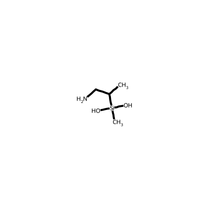 CC(CN)[Si](C)(O)O